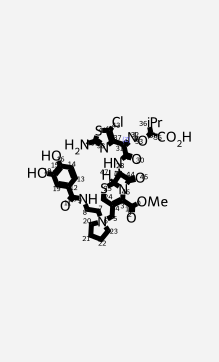 COC(=O)C1=C(C[N+]2(CCNC(=O)c3ccc(O)c(O)c3)CCCC2)CS[C@@H]2[C@H](NC(=O)/C(=N\O[C@H](C(=O)O)C(C)C)c3nc(N)sc3Cl)C(=O)N12